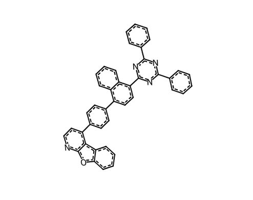 c1ccc(-c2nc(-c3ccccc3)nc(-c3ccc(-c4ccc(-c5ccnc6oc7ccccc7c56)cc4)c4ccccc34)n2)cc1